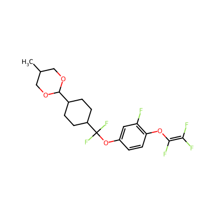 CC1COC(C2CCC(C(F)(F)Oc3ccc(OC(F)=C(F)F)c(F)c3)CC2)OC1